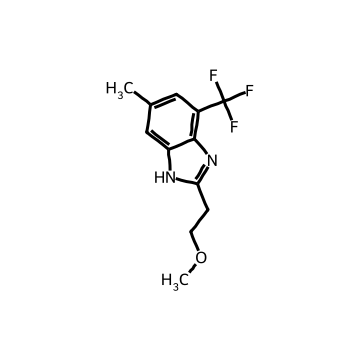 COCCc1nc2c(C(F)(F)F)cc(C)cc2[nH]1